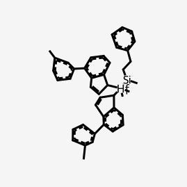 Cc1cccc(-c2cccc3c2C=C[CH]3[Hf]([CH3])([CH3])([CH]2C=Cc3c(-c4cccc(C)c4)cccc32)=[Si](C)CCc2ccccc2)c1